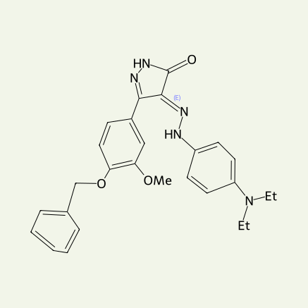 CCN(CC)c1ccc(N/N=C2/C(=O)NN=C2c2ccc(OCc3ccccc3)c(OC)c2)cc1